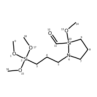 CO[Si](CCCN1CCC[Si]1(C=O)OC)(OC)OC